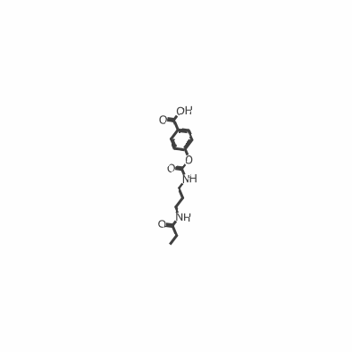 CCC(=O)NCCCNC(=O)Oc1ccc(C(=O)O)cc1